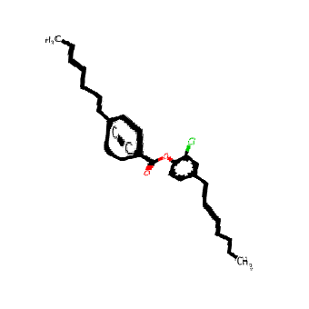 CCCCCCCc1ccc(OC(=O)C23CCC(CCCCCCC)(CC2)CC3)c(Cl)c1